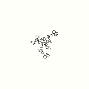 Cc1cc(C(F)(F)F)nn1CC(C(=O)C(Cn1nc(C(F)(F)F)cc1C)N1CCC(c2nc(CSc3cccc4cccnc34)cs2)CC1)N1CCC(c2nc(CSc3cccc4cccnc34)cs2)CC1